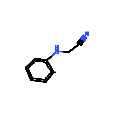 N#CCNc1[c]cccc1